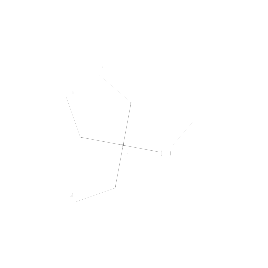 [C]OC(CC)(CC)CC